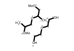 COCC(C)OCC(C)OC.OCCOCCO